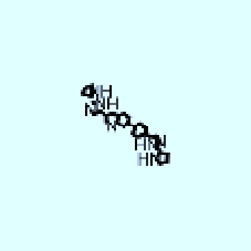 c1cc(-c2cnc(C3CCCN3)[nH]2)ccc1-c1ccc2cc(-c3cnc([C@@H]4CCCN4)[nH]3)cnc2c1